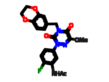 COc1nn(-c2ccc(F)c(NC(C)=O)c2)c(=O)n(Cc2ccc3c(c2)OCCO3)c1=O